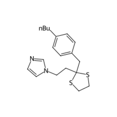 CCCCc1ccc(CC2(CCn3ccnc3)SCCS2)cc1